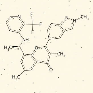 Cc1cc([C@@H](C)Nc2cccnc2C(F)(F)F)c2oc(-c3ccc4nn(C)cc4c3)c(C)c(=O)c2c1